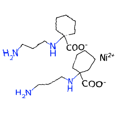 NCCCNC1(C(=O)[O-])CCCCC1.NCCCNC1(C(=O)[O-])CCCCC1.[Ni+2]